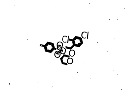 Cc1ccc(S(=O)(=O)OCC(OC2CCCCO2)c2ccc(Cl)cc2Cl)cc1